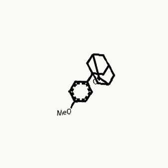 COc1ccc(C23CC4CC(C2)C(=O)C(C4)C3)cc1